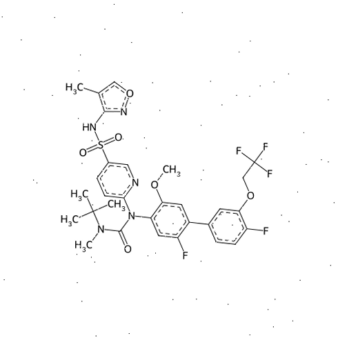 COc1cc(-c2ccc(F)c(OCC(F)(F)F)c2)c(F)cc1N(C(=O)N(C)C(C)(C)C)c1ccc(S(=O)(=O)Nc2nocc2C)cn1